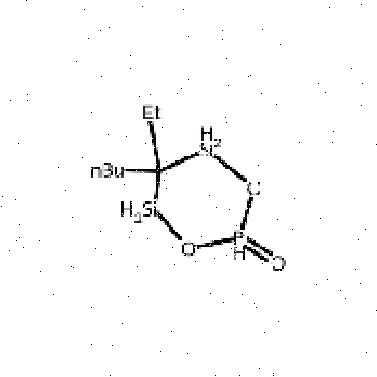 CCCCC1(CC)[SiH2]O[PH](=O)O[SiH2]1